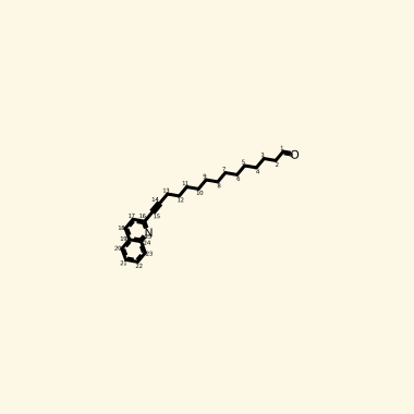 O=CCCCCCCCCCCCCC#Cc1ccc2ccccc2n1